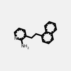 Nc1ncccc1CCc1cccc2ccccc12